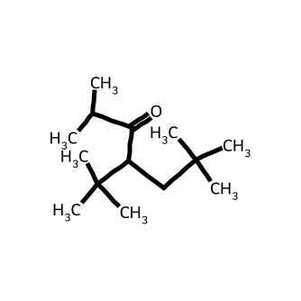 CC(C)C(=O)C(CC(C)(C)C)C(C)(C)C